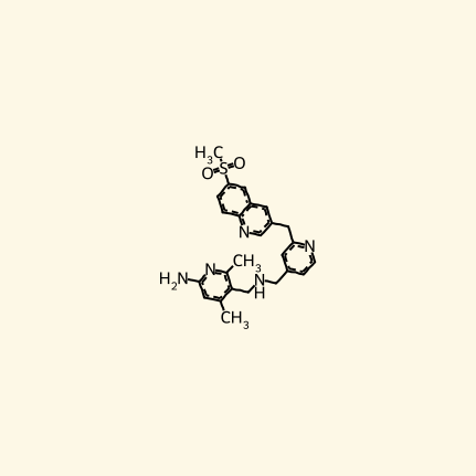 Cc1cc(N)nc(C)c1CNCc1ccnc(Cc2cnc3ccc(S(C)(=O)=O)cc3c2)c1